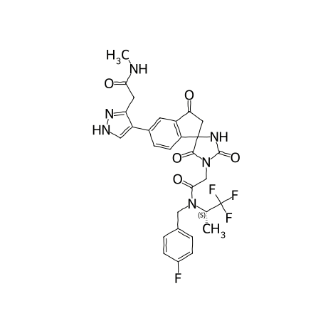 CNC(=O)Cc1n[nH]cc1-c1ccc2c(c1)C(=O)CC21NC(=O)N(CC(=O)N(Cc2ccc(F)cc2)[C@@H](C)C(F)(F)F)C1=O